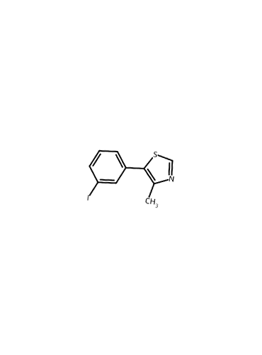 Cc1ncsc1-c1cccc(I)c1